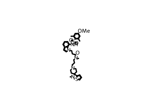 COc1cc(C)c(S(=O)(=O)Nc2cccc3ccn(CCC(=O)N(C)CCCN4CCC(c5cccs5)(N(C)C)CC4)c23)c(C)c1